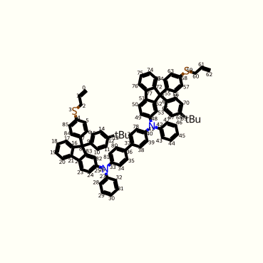 C=CCSc1ccc(C2(c3ccc(C(C)(C)C)cc3)c3ccccc3-c3ccc(N(c4ccccc4)c4ccc(-c5ccc(N(c6ccccc6)c6ccc7c(c6)C(c6ccc(SCC=C)cc6)(c6ccc(C(C)(C)C)cc6)c6ccccc6-7)cc5)cc4)cc32)cc1